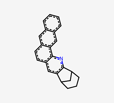 c1ccc2cc3c(ccc4cc5c(nc43)C3CCCC5C3)cc2c1